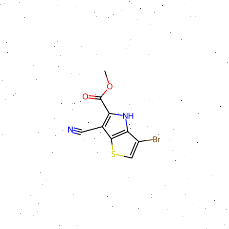 COC(=O)c1[nH]c2c(Br)csc2c1C#N